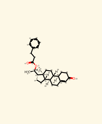 C[C@@H](OC(=O)CCc1ccccc1)[C@H]1CC[C@H]2[C@@H]3CCC4=CC(=O)CC[C@@H]4[C@H]3CC[C@]12C